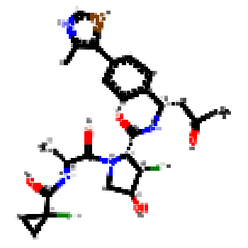 Cc1ncsc1-c1ccc([C@H](CC(=O)C(C)(C)C)NC(=O)[C@@H]2[C@@H](F)[C@@H](O)CN2C(=O)[C@@H](NC(=O)C2(F)CC2)C(C)(C)C)cc1